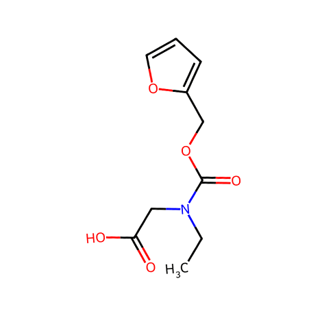 CCN(CC(=O)O)C(=O)OCc1ccco1